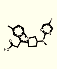 Cc1ccc2c(c1)c(CC(=O)O)c1n2CC(N(C)c2ncc(F)cn2)CC1